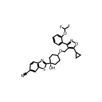 N#Cc1ccc2nc([C@]3(O)CC[C@@H](OCc4c(-c5ccccc5OC(F)F)noc4C4CC4)CC3)sc2c1